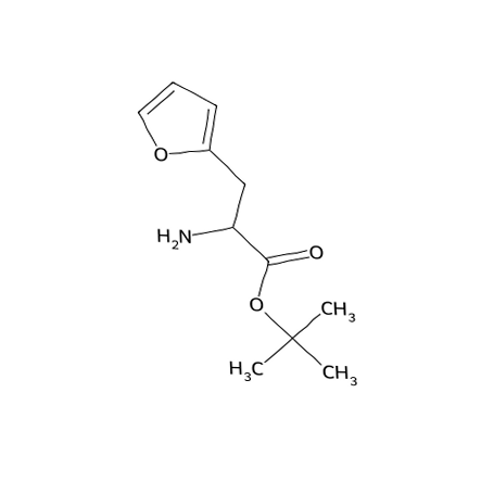 CC(C)(C)OC(=O)C(N)Cc1ccco1